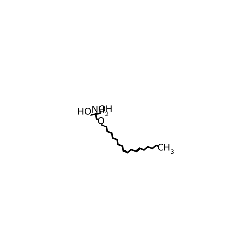 CCCCCC=CC/C=C\CCCCCCCCOCC(N)(CO)CO